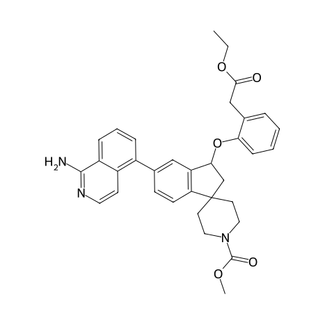 CCOC(=O)Cc1ccccc1OC1CC2(CCN(C(=O)OC)CC2)c2ccc(-c3cccc4c(N)nccc34)cc21